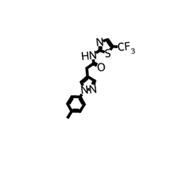 Cc1ccc(-n2cc(CC(=O)Nc3ncc(C(F)(F)F)s3)cn2)cc1